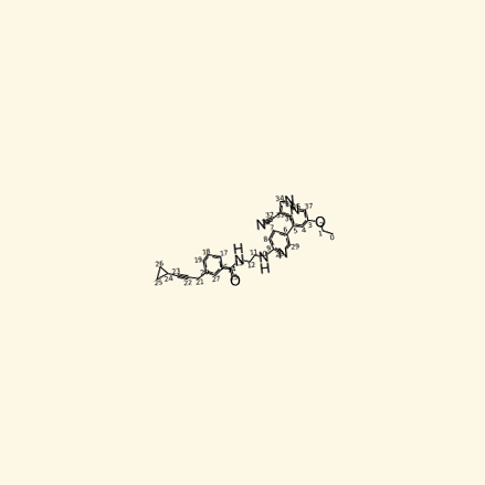 CCOc1cc(-c2ccc(NCCNC(=O)c3cccc(CC#CC4CC4)c3)nc2)c2c(C#N)cnn2c1